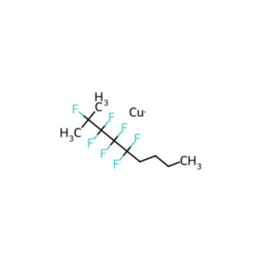 CCCCC(F)(F)C(F)(F)C(F)(F)C(C)(C)F.[Cu]